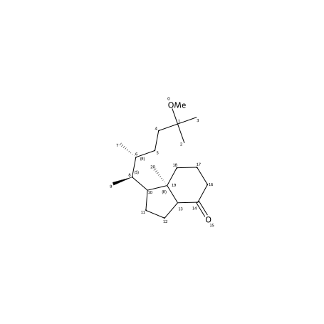 COC(C)(C)CC[C@@H](C)[C@H](C)C1CCC2C(=O)CCC[C@@]21C